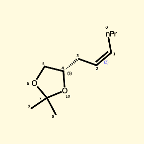 CCC/C=C\C[C@H]1COC(C)(C)O1